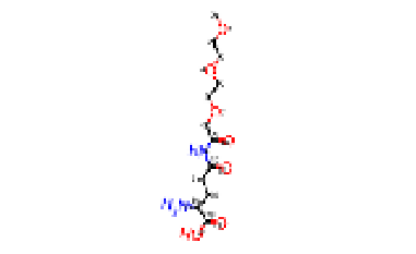 COCCOCCOCC(=O)NC(=O)CCC(N)C(=O)O